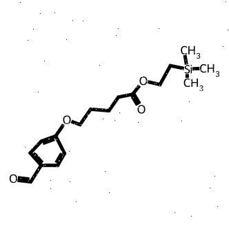 C[Si](C)(C)CCOC(=O)CCCCOc1ccc(C=O)cc1